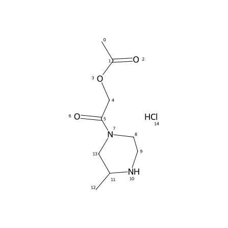 CC(=O)OCC(=O)N1CCNC(C)C1.Cl